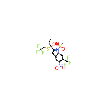 CCC(O)(SCC(F)(F)F)c1cc2cc([N+](=O)[O-])c(C(F)(F)F)cc2n1S(C)(=O)=O